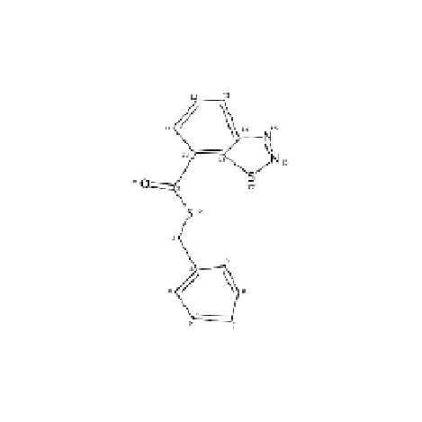 O=C(SCc1ccccc1)c1cccc2nnsc12